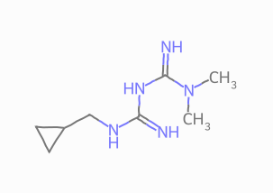 CN(C)C(=N)NC(=N)NCC1CC1